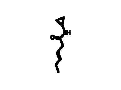 CCC=CCC(=O)NC1CC1